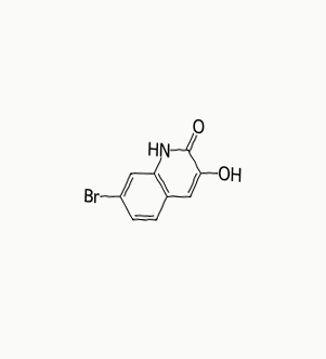 O=c1[nH]c2cc(Br)ccc2cc1O